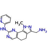 Cn1nc(CN)c2c1-c1nc(Nc3ccccn3)ncc1CC2